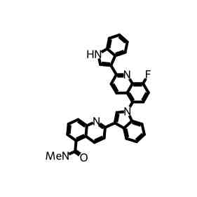 CNC(=O)c1cccc2nc(-c3cn(-c4ccc(F)c5nc(-c6c[nH]c7ccccc67)ccc45)c4ccccc34)ccc12